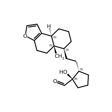 C[C@@]12CCc3occc3[C@H]1CCC[C@H]2CC[C@@H]1CCC[C@]1(O)C=O